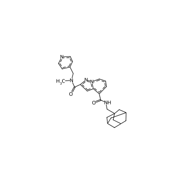 CN(Cc1ccncc1)C(=O)c1cc2c(C(=O)NCC34CC5CC(CC(C5)C3)C4)cccn2n1